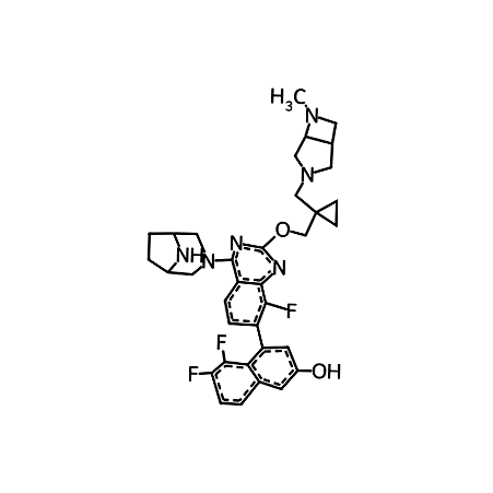 CN1CC2CN(CC3(COc4nc(N5CC6CCC(C5)N6)c5ccc(-c6cc(O)cc7ccc(F)c(F)c67)c(F)c5n4)CC3)CC21